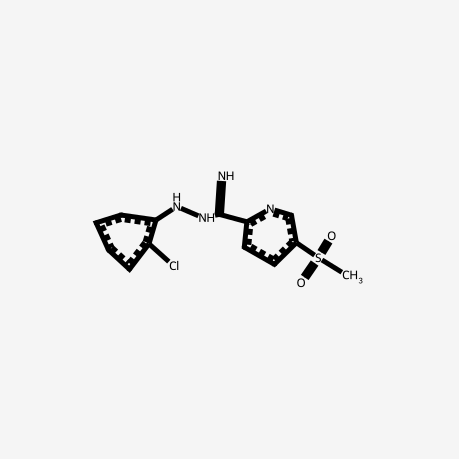 CS(=O)(=O)c1ccc(C(=N)NNc2ccccc2Cl)nc1